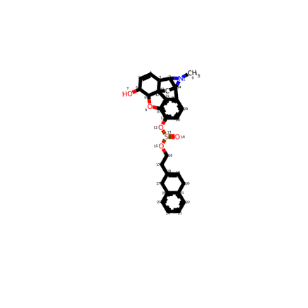 CN1C2C3C=CC(O)C4Oc5c(OS(=O)OCCC6=CCc7ccccc7C6)ccc6c5C34CC621